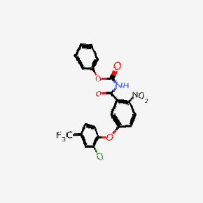 O=C(NC(=O)c1cc(Oc2ccc(C(F)(F)F)cc2Cl)ccc1[N+](=O)[O-])Oc1ccccc1